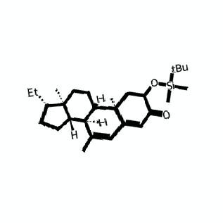 CC[C@H]1CC[C@H]2[C@@H]3C(C)=CC4=CC(=O)C(O[Si](C)(C)C(C)(C)C)C[C@]4(C)[C@H]3CC[C@]12C